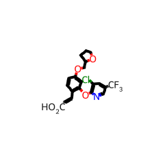 O=C(O)/C=C/c1ccc(OCC2CCCO2)cc1Oc1ncc(C(F)(F)F)cc1Cl